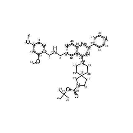 COc1ccc(CNCc2cc3c(N4CCC5(CCN(C(=O)OC(C)(C)C)C5)CC4)nc(-c4ccncc4)nc3cn2)c(OC)c1